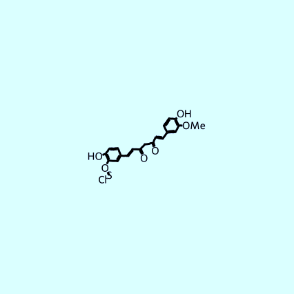 COc1cc(/C=C/C(=O)CC(=O)/C=C/c2ccc(O)c(OSCl)c2)ccc1O